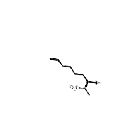 C=CCCCCC(C(C)C)C(C)C(=O)O